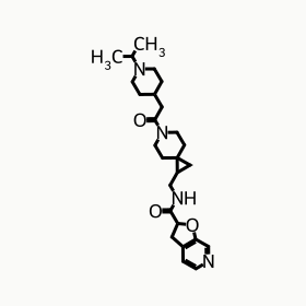 CC(C)N1CCC(CC(=O)N2CCC3(CC2)CC3CNC(=O)C2Cc3ccncc3O2)CC1